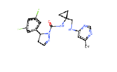 N#Cc1cc(NCC2(NC(=O)N3N=CCC3c3cc(F)cc(F)c3)CC2)ncn1